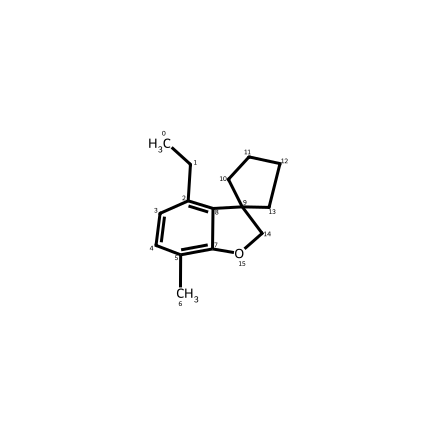 CCc1ccc(C)c2c1C1(CCCC1)CO2